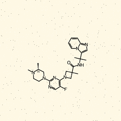 C[C@H]1CN(c2ncc(F)c(N3CC(C)(C(=O)NC(C)(C)c4cnc5ccccn45)C3)n2)CCN1C